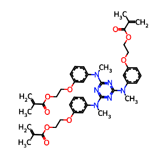 C=C(C)C(=O)OCCOc1cccc(N(C)c2nc(N(C)c3cccc(OCCOC(=O)C(=C)C)c3)nc(N(C)c3cccc(OCCOC(=O)C(=C)C)c3)n2)c1